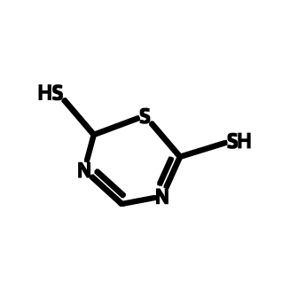 SC1=NC=NC(S)S1